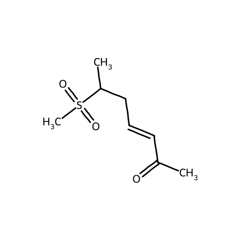 CC(=O)C=CCC(C)S(C)(=O)=O